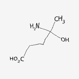 CC(N)(O)CCC(=O)O